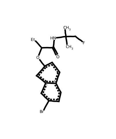 CCC(Oc1ccc2ccc(Br)cc2c1)C(=O)NC(C)(C)CF